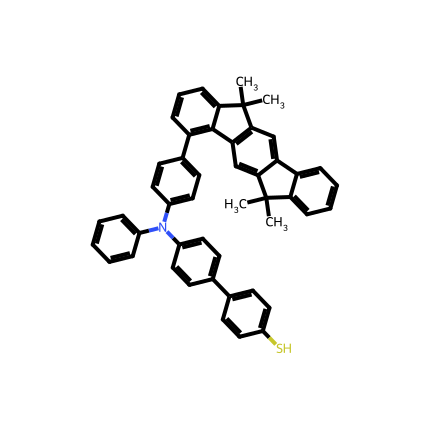 CC1(C)c2ccccc2-c2cc3c(cc21)-c1c(-c2ccc(N(c4ccccc4)c4ccc(-c5ccc(S)cc5)cc4)cc2)cccc1C3(C)C